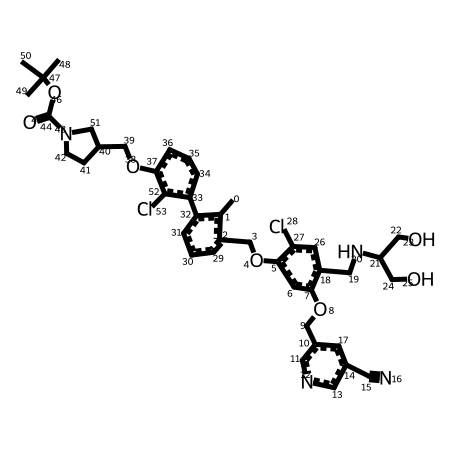 Cc1c(COc2cc(OCc3cncc(C#N)c3)c(CNC(CO)CO)cc2Cl)cccc1-c1cccc(OCC2CCN(C(=O)OC(C)(C)C)C2)c1Cl